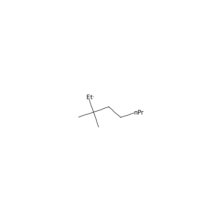 C[CH]C(C)(C)CCCCC